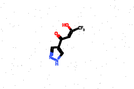 O=C(/C=C(\O)C(F)(F)F)c1cn[nH]c1